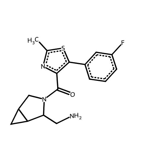 Cc1nc(C(=O)N2CC3CC3C2CN)c(-c2cccc(F)c2)s1